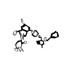 Cc1ccc(CN2CCN(c3cc(F)cc4c3CN(C3CCC(=O)NC3=O)C4=O)CC2)c(OCc2ccccc2)c1